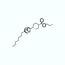 CCCCCCCC12CCC([C@H]3CC[C@H](C(=O)OCCC)CC3)(CC1)CC2